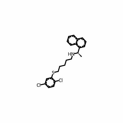 C[C@@H](NCCCCCSc1cc(Cl)ccc1Cl)c1cccc2ccccc12